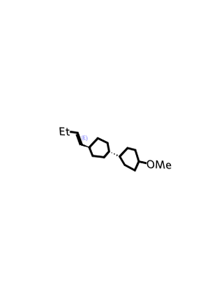 CC/C=C/[C@H]1CC[C@H](C2CCC(OC)CC2)CC1